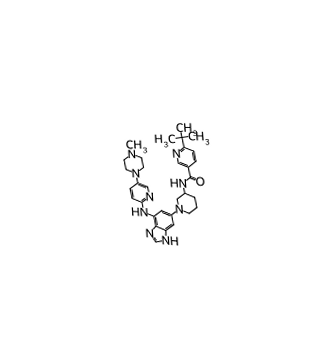 CN1CCN(c2ccc(Nc3cc(N4CCCC(NC(=O)c5ccc(C(C)(C)C)nc5)C4)cc4[nH]cnc34)nc2)CC1